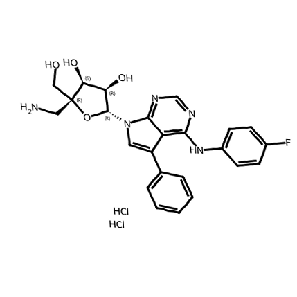 Cl.Cl.NC[C@]1(CO)O[C@@H](n2cc(-c3ccccc3)c3c(Nc4ccc(F)cc4)ncnc32)[C@H](O)[C@@H]1O